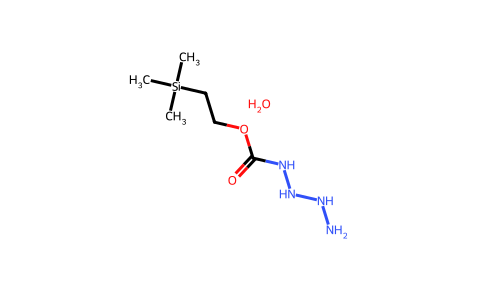 C[Si](C)(C)CCOC(=O)NNNN.O